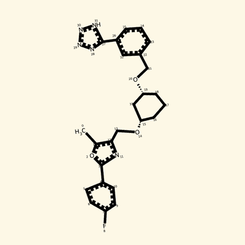 Cc1oc(-c2ccc(F)cc2)nc1CO[C@H]1CCC[C@@H](OCc2cccc(-c3nnn[nH]3)c2)C1